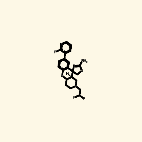 NC1=NC2(CO1)c1cc(-c3cccnc3F)ccc1OC1CCN(CC(F)F)C[C@@H]12